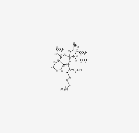 CNCCCCC(C(=O)O)N1CC(CCN)(N(CC(=O)O)CC(=O)O)CN(CC(=O)O)C2CCCCC21